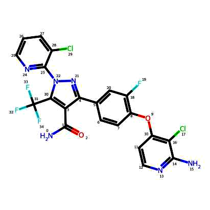 NC(=O)c1c(-c2ccc(Oc3ccnc(N)c3Cl)c(F)c2)nn(-c2ncccc2Cl)c1C(F)(F)F